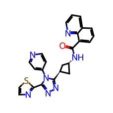 O=C(N[C@H]1C[C@H](c2nnc(-c3nccs3)n2-c2ccncc2)C1)c1cccc2cccnc12